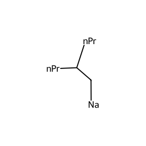 CCCC([CH2][Na])CCC